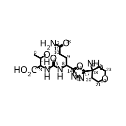 CC(O)C(NC(=O)NC(CCC(N)=O)c1nnc(C2(N)CCOCC2)o1)C(=O)O